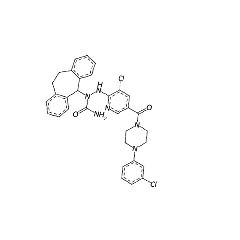 NC(=O)N(Nc1ncc(C(=O)N2CCN(c3cccc(Cl)c3)CC2)cc1Cl)C1c2ccccc2CCc2ccccc21